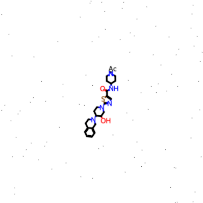 CC(=O)N1CCC(NC(=O)c2cnc(N3CCC(N4CCc5ccccc5C4)C(O)C3)s2)CC1